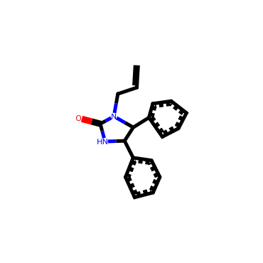 C=CCN1C(=O)NC(c2ccccc2)C1c1ccccc1